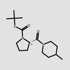 [CH2]C1CCN(C(=O)[C@@H]2CCCN2C(=O)OC(C)(C)C)CC1